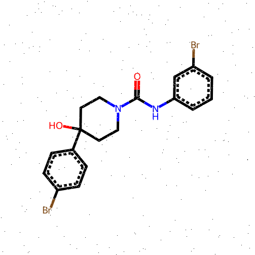 O=C(Nc1cccc(Br)c1)N1CCC(O)(c2ccc(Br)cc2)CC1